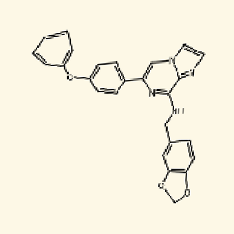 c1ccc(Oc2ccc(-c3cn4ccnc4c(NCc4ccc5c(c4)OCO5)n3)cc2)cc1